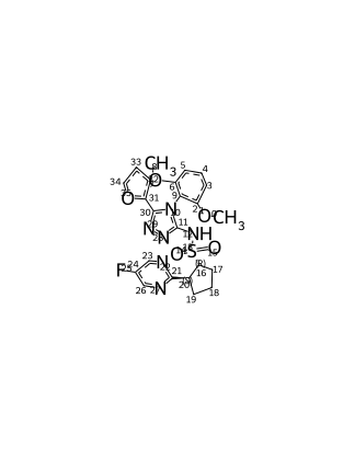 COc1cccc(OC)c1-n1c(NS(=O)(=O)[C@@H]2CCC[C@H]2c2ncc(F)cn2)nnc1-c1ccco1